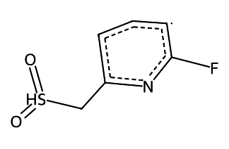 O=[SH](=O)Cc1cc[c]c(F)n1